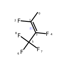 C/C(F)=C(\F)C(F)(F)F